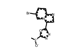 C[S+]([O-])c1nnc(-c2cnc3ccc(Br)cn23)o1